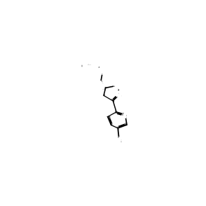 CCCCCOC[C@@H]1CC(c2ccc(Br)cn2)=NO1